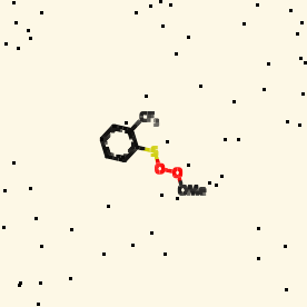 COOOSc1ccccc1C(F)(F)F